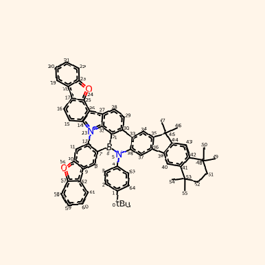 CC(C)(C)c1ccc(N2B3c4cc5c(cc4-n4c6ccc7c8ccccc8oc7c6c6ccc(c3c64)-c3cc4c(cc32)-c2cc3c(cc2C4(C)C)C(C)(C)CCC3(C)C)oc2ccccc25)cc1